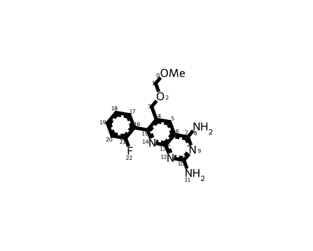 COCOCc1cc2c(N)nc(N)nc2nc1-c1ccccc1F